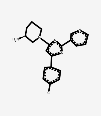 N[C@H]1CCCN(c2cc(-c3ccc(Cl)cc3)nc(-c3cccnc3)n2)C1